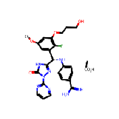 CC(=O)O.CCOc1cc(OCCCO)c(F)c([C@H](Nc2ccc(C(=N)N)cc2)c2nn(-c3ncccn3)c(=O)[nH]2)c1